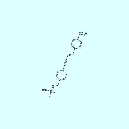 CC(C)(C)[Si](C)(C)OCc1ccc(C#CC=Cc2ccc(C(=O)O)cc2)cc1